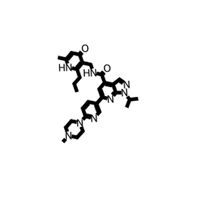 CCCc1[nH]c(C)cc(=O)c1CNC(=O)c1cc(-c2ccc(N3CCN(C)CC3)nc2)nc2c1cnn2C(C)C